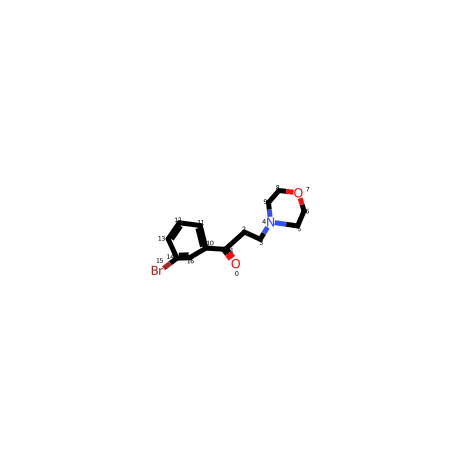 O=C(CCN1CCOCC1)c1cccc(Br)c1